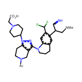 CNCC(C=N)c1cc2c(cc1C(F)F)N(c1nn(C3CCN(CC(=O)O)CC3)c3c1CN(C(C)=O)CC3)CCC2